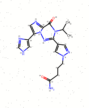 CC(C)n1c(-c2cnn(CCCC(N)=O)c2)nn2c(-c3c[nH]cn3)cnc2c1=O